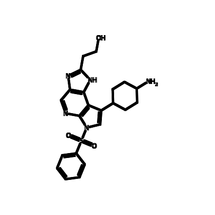 NC1CCC(c2cn(S(=O)(=O)c3ccccc3)c3ncc4nc(CCO)[nH]c4c23)CC1